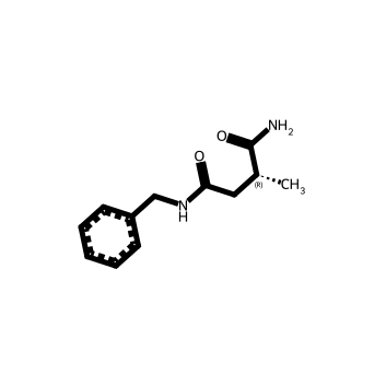 C[C@H](CC(=O)NCc1ccccc1)C(N)=O